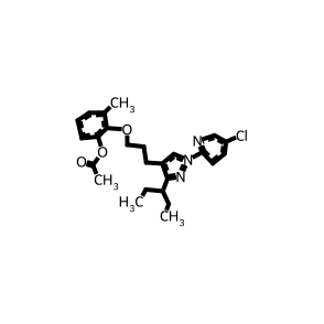 CCC(CC)c1nn(-c2ccc(Cl)cn2)cc1CCCOc1c(C)cccc1OC(C)=O